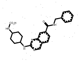 O=C(O)NC1CCC(Nc2ncc3ccc(C(=O)NCc4ccccc4)cc3n2)CC1